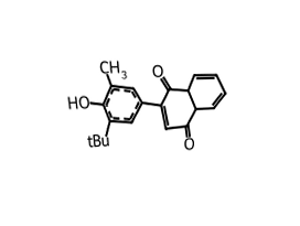 Cc1cc(C2=CC(=O)C3C=CC=CC3C2=O)cc(C(C)(C)C)c1O